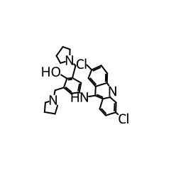 Oc1c(CN2CCCC2)cc(Nc2c3ccc(Cl)cc3nc3ccc(Cl)cc23)cc1CN1CCCC1